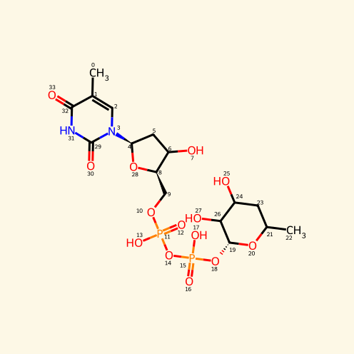 Cc1cn([C@H]2CC(O)[C@@H](COP(=O)(O)OP(=O)(O)O[C@H]3OC(C)CC(O)C3O)O2)c(=O)[nH]c1=O